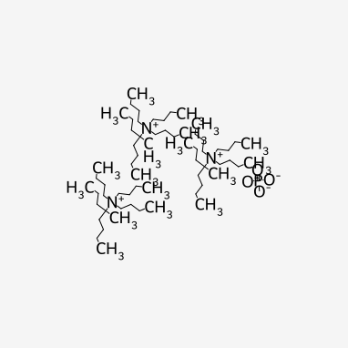 CCCCC(C)(CCC)[N+](CCCC)(CCCC)CCCC.CCCCC(C)(CCC)[N+](CCCC)(CCCC)CCCC.CCCCC(C)(CCC)[N+](CCCC)(CCCC)CCCC.O=P([O-])([O-])[O-]